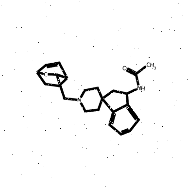 CC(=O)NC1CC2(CCN(CC3CC4C=CC3CC4)CC2)c2ccccc21